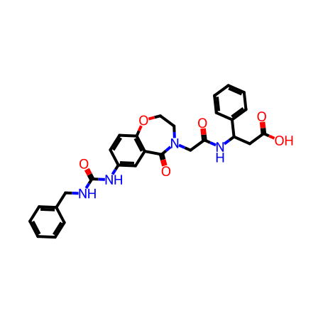 O=C(O)CC(NC(=O)CN1CCOc2ccc(NC(=O)NCc3ccccc3)cc2C1=O)c1ccccc1